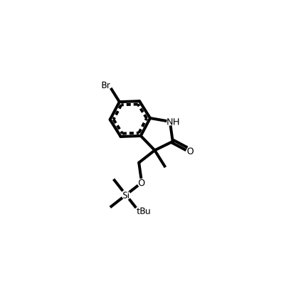 CC1(CO[Si](C)(C)C(C)(C)C)C(=O)Nc2cc(Br)ccc21